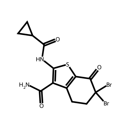 NC(=O)c1c(NC(=O)C2CC2)sc2c1CCC(Br)(Br)C2=O